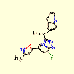 Cc1cc(-c2cc(F)c3nnc(C(C)c4ccc5ncccc5c4)n3c2)on1